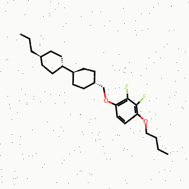 CCCCOc1ccc(OC[C@H]2CC[C@H]([C@H]3CC[C@H](CCC)CC3)CC2)c(F)c1F